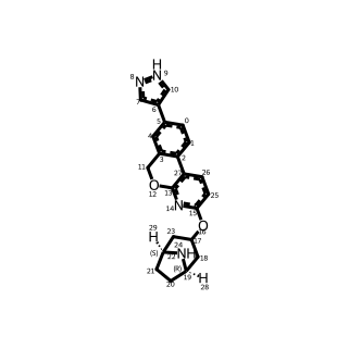 c1cc2c(cc1-c1cn[nH]c1)COc1nc(OC3C[C@H]4CC[C@@H](C3)N4)ccc1-2